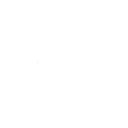 CCCCCCCCCCCCCCCCCCCCCC[PH](CCCC)(CCCC)CCCC